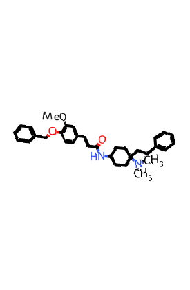 COc1cc(C=CC(=O)NC2CCC(CCc3ccccc3)(N(C)C)CC2)ccc1OCc1ccccc1